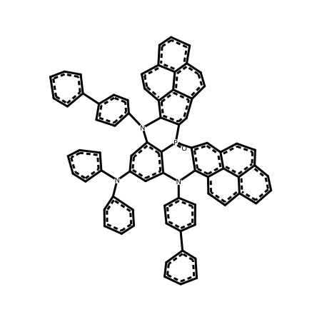 O=P12c3cc4ccc5cccc6ccc(c3N(c3ccc(-c7ccccc7)cc3)c3cc(N(c7ccccc7)c7ccccc7)cc(c31)N(c1ccc(-c3ccccc3)cc1)c1c2cc2ccc3cccc7ccc1c2c37)c4c56